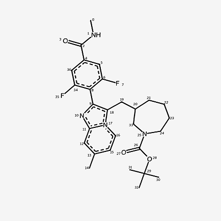 CNC(=O)c1cc(F)c(-c2nc3cc(C)ccn3c2CC2CCCCN(C(=O)OC(C)(C)C)C2)c(F)c1